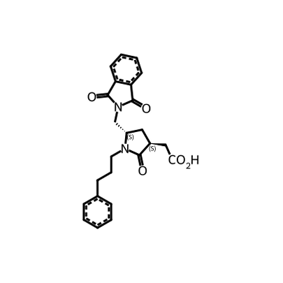 O=C(O)C[C@@H]1C[C@@H](CN2C(=O)c3ccccc3C2=O)N(CCCc2ccccc2)C1=O